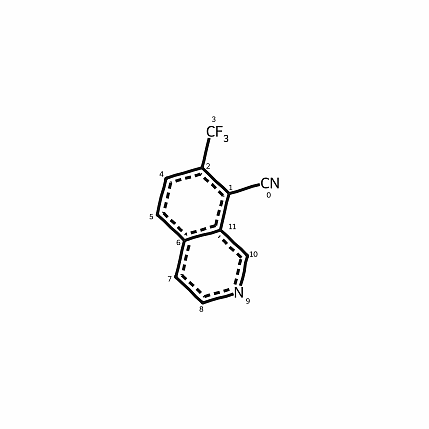 N#Cc1c(C(F)(F)F)ccc2ccncc12